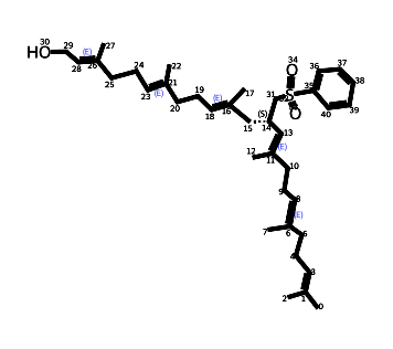 CC(C)=CCC/C(C)=C/CC/C(C)=C/[C@H](C/C(C)=C/CC/C(C)=C/CC/C(C)=C/CO)CS(=O)(=O)c1ccccc1